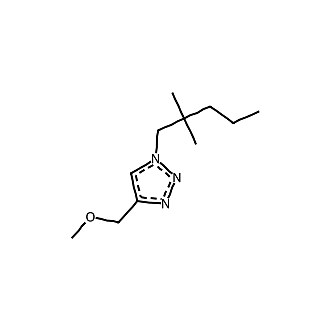 CCCC(C)(C)Cn1cc(COC)nn1